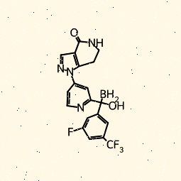 BC(O)(c1cc(F)cc(C(F)(F)F)c1)c1cc(-n2ncc3c2CCNC3=O)ccn1